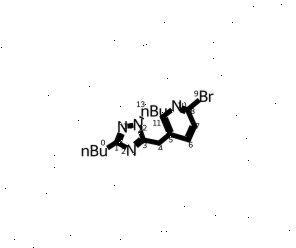 CCCCc1nc(Cc2ccc(Br)nc2)n(CCCC)n1